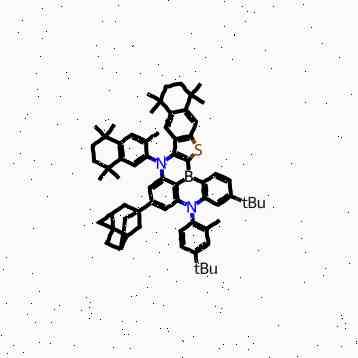 Cc1cc(C(C)(C)C)ccc1N1c2cc(C(C)(C)C)ccc2B2c3sc4cc5c(cc4c3N(c3cc4c(cc3C)C(C)(C)CCC4(C)C)c3cc(C46CC7CC8(CC8C4)C7C6)cc1c32)C(C)(C)CCC5(C)C